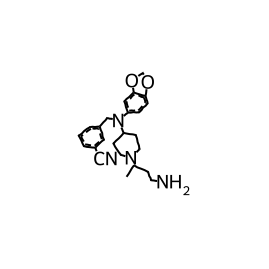 CC(CCN)N1CCC(N(Cc2cccc(C#N)c2)c2ccc3c(c2)OCO3)CC1